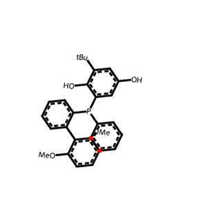 COc1cccc(OC)c1-c1ccccc1P(c1ccccc1)c1cc(O)cc(C(C)(C)C)c1O